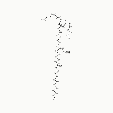 CCCC/C=C\CCC(CC/C=C\CCCC)OC(=O)CCCCCCCN(CCO)CCCCCC(=O)COCCCCCCCCCC